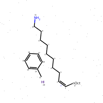 CCCCCCCC/C=C\CCCCCCCCN.Cc1ccccc1.I